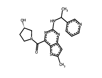 Cc1cc2nc(NC(C)c3cccnc3)nc(C(=O)N3CC[C@H](O)C3)c2s1